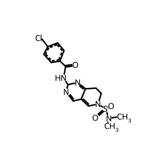 CN(C)S(=O)(=O)N1C=C2C=NC(NC(=O)c3ccc(Cl)cc3)N=C2CC1